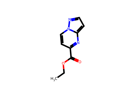 CCOC(=O)c1ccn2nccc2n1